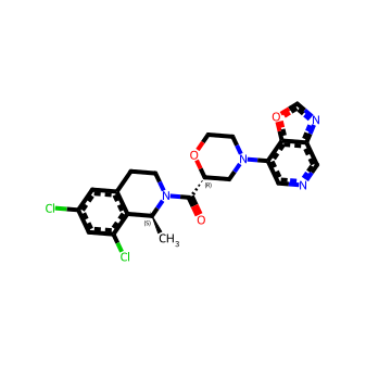 C[C@H]1c2c(Cl)cc(Cl)cc2CCN1C(=O)[C@H]1CN(c2cncc3ncoc23)CCO1